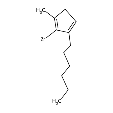 CCCCCCC1=CCC(C)=[C]1[Zr]